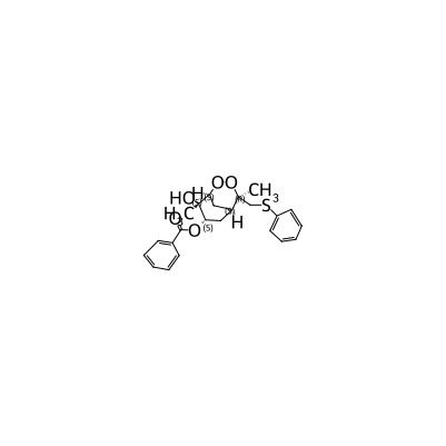 C[C@@]1(O)[C@@H]2C[C@H](C[C@@H]1OC(=O)c1ccccc1)[C@](C)(CSc1ccccc1)OO2